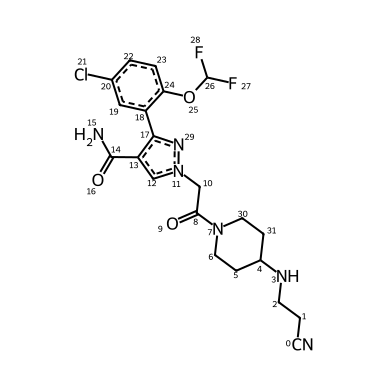 N#CCCNC1CCN(C(=O)Cn2cc(C(N)=O)c(-c3cc(Cl)ccc3OC(F)F)n2)CC1